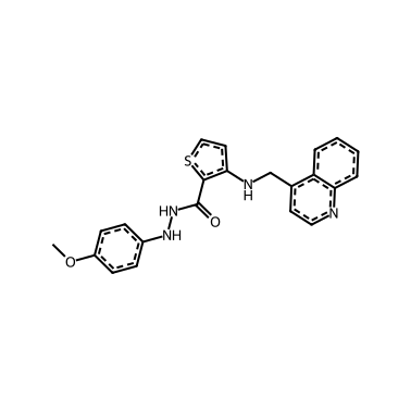 COc1ccc(NNC(=O)c2sccc2NCc2ccnc3ccccc23)cc1